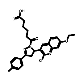 CCOc1ccc2cc(C3CC(c4ccc(I)cc4)=NN3C(=O)CCCCC(=O)O)c(Cl)nc2c1